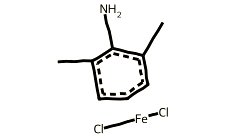 Cc1cccc(C)c1N.[Cl][Fe][Cl]